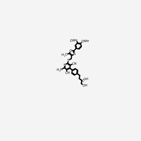 COc1ccc(-c2nc(CSc3nc(N)c(C#N)c(-c4ccc(CC[C@H](O)CO)cc4)c3C#N)c(C)o2)cc1OC